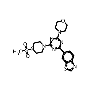 CS(=O)(=O)N1CCN(c2nc(-c3ccc4ncsc4c3)nc(N3CCOCC3)n2)CC1